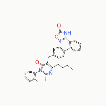 CCCCc1nc(C)n(-c2ccccc2C)c(=O)c1Cc1ccc(-c2ccccc2-c2noc(=O)[nH]2)cc1